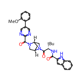 COc1ccccc1-c1cnc(C(=O)N2C[C@@H]3C[C@H]2CN3C(=O)[C@@H](NC(=O)c2cc3ccccc3[nH]2)C(C)(C)C)nc1